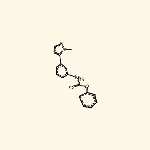 Cn1nccc1-c1cccc(NC(=O)Oc2ccccc2)c1